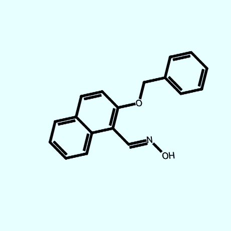 ON=Cc1c(OCc2ccccc2)ccc2ccccc12